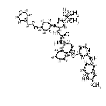 Cc1cc2cc(Nc3nccc(Oc4ccc(NC(=O)Nc5cc(C(C)(C)C)nn5-c5ccc(OCCN6CCOCC6)cc5)c5ccccc45)n3)ccc2[nH]1